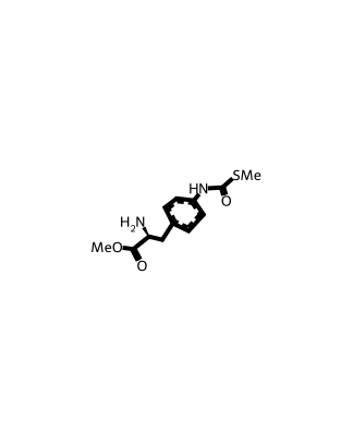 COC(=O)[C@@H](N)Cc1ccc(NC(=O)SC)cc1